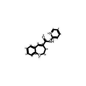 O=C(Nc1ccccn1)C1=Cc2ccccc2OCC1